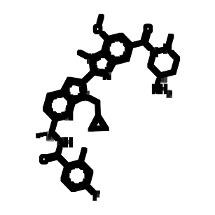 COc1cc(C(=O)N2C[C@H](N)CCN2C)cc2nc(-c3cc4ccc([C@@H](C)NC(=O)c5ccc(F)cc5C)nc4n3CC3CC3)n(C)c12